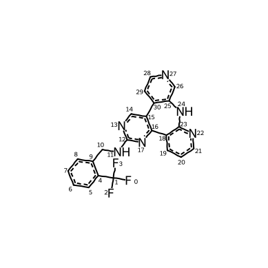 FC(F)(F)c1ccccc1CNc1ncc2c(n1)-c1cccnc1Nc1cnccc1-2